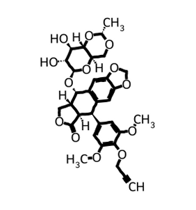 C#CCOc1c(OC)cc([C@@H]2c3cc4c(cc3[C@@H](O[C@@H]3O[C@@H]5CO[C@@H](C)O[C@H]5[C@H](O)[C@H]3O)[C@H]3COC(=O)[C@H]23)OCO4)cc1OC